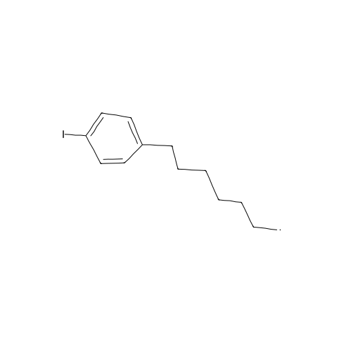 [CH2]CCCCCCc1ccc(I)cc1